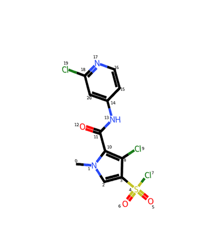 Cn1cc(S(=O)(=O)Cl)c(Cl)c1C(=O)Nc1ccnc(Cl)c1